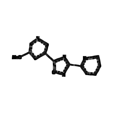 COc1cncc(-c2nc(-c3ccccn3)no2)c1